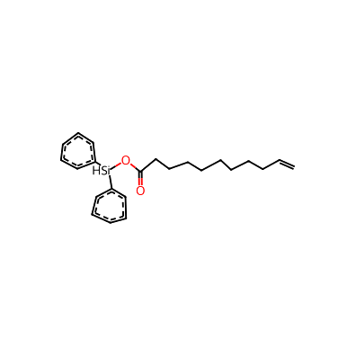 C=CCCCCCCCCC(=O)O[SiH](c1ccccc1)c1ccccc1